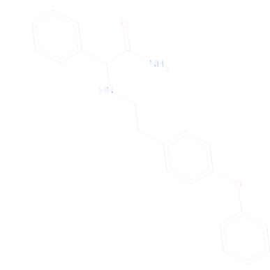 NC(=O)C(NCCc1ccc(Oc2ccccc2)cc1)c1ccccc1